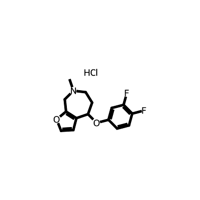 CN1CCC(Oc2ccc(F)c(F)c2)c2ccoc2C1.Cl